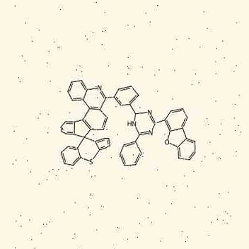 c1ccc(C2=NC(c3cccc4c3oc3ccccc34)=NC(c3cccc(-c4nc5ccccc5c5c6c(ccc45)C4(c5ccccc5Sc5ccccc54)c4ccccc4-6)c3)N2)cc1